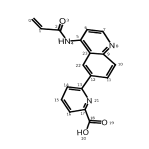 C=CC(=O)Nc1ccnc2ccc(-c3cccc(C(=O)O)n3)cc12